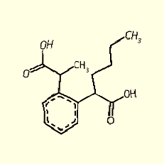 CCCCC(C(=O)O)c1ccccc1C(C)C(=O)O